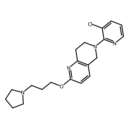 Clc1cccnc1N1CCc2nc(OCCCN3CCCC3)ccc2C1